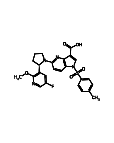 COc1ncc(F)cc1[C@H]1CCCN1c1ccc2c(n1)c(C(=O)O)cn2S(=O)(=O)c1ccc(C)cc1